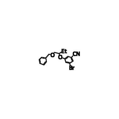 CCC(COCc1ccccc1)Oc1cc(Br)cc(C#N)c1